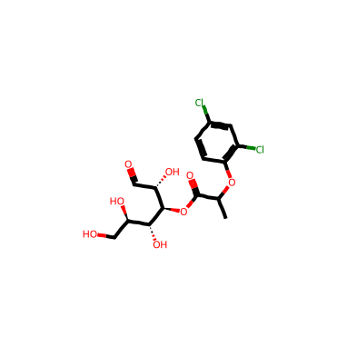 CC(Oc1ccc(Cl)cc1Cl)C(=O)O[C@@H]([C@H](O)[C@H](O)CO)[C@@H](O)C=O